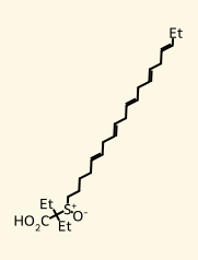 CCC=CCC=CCC=CCC=CCC=CCCCC[S+]([O-])C(CC)(CC)C(=O)O